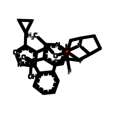 Cc1nc(N2C3CCC2CC(OCc2c(-c4ccccc4OC(F)(F)F)noc2C2CC2)C3)ccc1C(=O)O